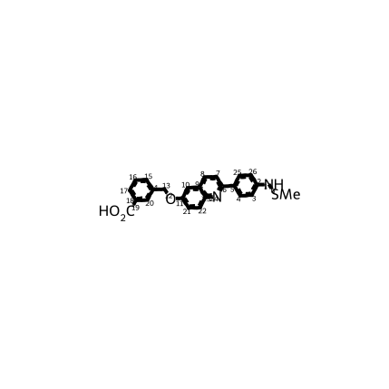 CSNc1ccc(-c2ccc3cc(OCc4cccc(C(=O)O)c4)ccc3n2)cc1